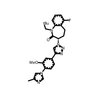 COc1cc(-c2cn([C@@H]3CCc4c(F)cccc4N(CC(C)(C)C)C3=O)nn2)ccc1-n1cnc(C)c1